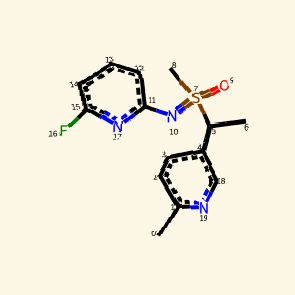 Cc1ccc(C(C)S(C)(=O)=Nc2cccc(F)n2)cn1